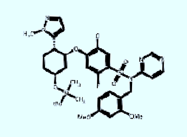 COc1ccc(CN(c2ccncn2)S(=O)(=O)c2cc(Cl)c(O[C@H]3C[C@@H](O[Si](C)(C)C(C)(C)C)CC[C@@H]3c3ccnn3C)cc2F)c(OC)c1